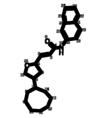 O=C(/C=C/C1CC(C2CCCCCCC2)CO1)Nc1ccc2ccccc2c1